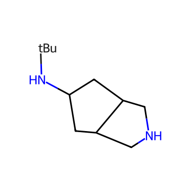 CC(C)(C)NC1CC2CNCC2C1